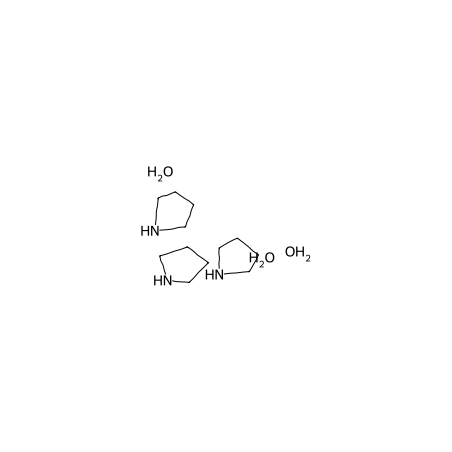 C1CCNC1.C1CCNC1.C1CCNC1.O.O.O